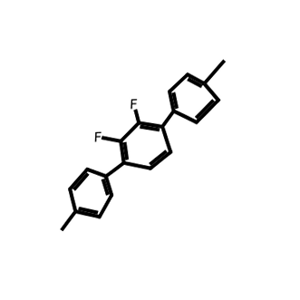 Cc1ccc(-c2ccc(-c3ccc(C)cc3)c(F)c2F)cc1